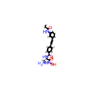 CCC(=O)Nc1cccc(C#Cc2ccc(C(=O)N[C@@H](CN)C(=O)NO)cc2)c1